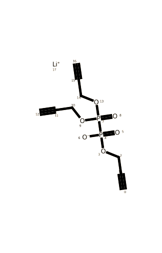 C#CCOP(=O)([O-])P(=O)(OCC#C)OCC#C.[Li+]